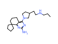 CCCNCCC1CCN(c2nc(N)nc3c2CCCC32CCCC2)C1